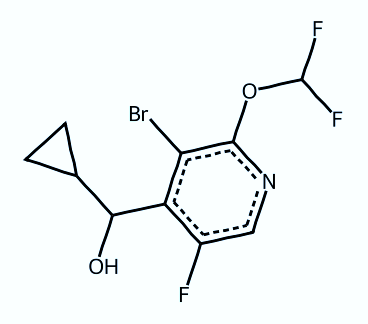 OC(c1c(F)cnc(OC(F)F)c1Br)C1CC1